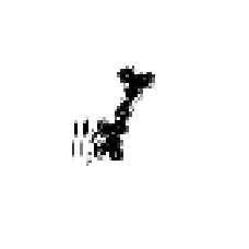 CCC1(CC)c2ccccc2-c2cc3c(cc21)C(CC)(CC)c1cc(-c2ccc(/C=C/c4ccc(N(c5ccccc5)c5ccccc5)cc4)cc2)ccc1-3